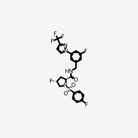 O=C(NCc1cc(F)cc(-n2ccc(C(F)(F)F)n2)c1)[C@@H]1C[C@@H](F)CN1S(=O)(=O)c1ccc(F)cc1